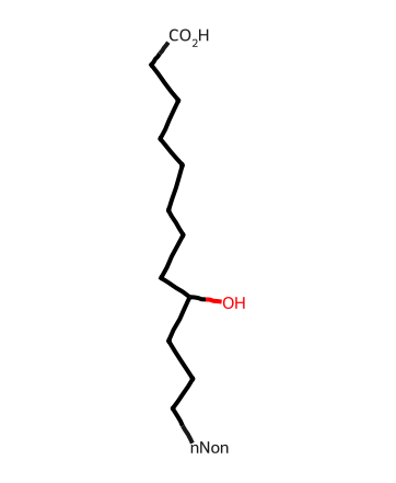 CCCCCCCCCCCCC(O)CCCCCCCC(=O)O